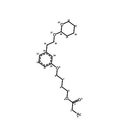 CC(=O)CC(=O)OCCCCOc1cccc(CCOC2CCCCO2)c1